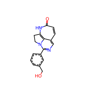 O=C1C=CC2=CN=C(c3cccc(CO)c3)N3CCC(=C23)N1